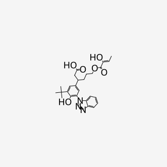 CC=C(O)C(=O)OCCCC(CC(=O)O)c1cc(-n2nnc3ccccc32)c(O)c(C(C)(C)C)c1